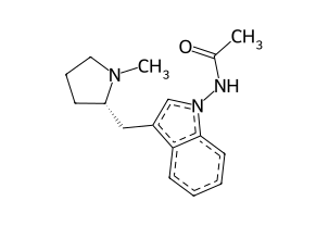 CC(=O)Nn1cc(C[C@@H]2CCCN2C)c2ccccc21